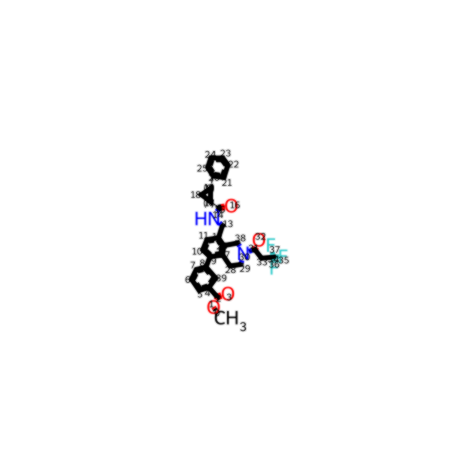 COC(=O)c1cccc(-c2ccc(CNC(=O)[C@@H]3C[C@@H]3c3ccccc3)c3c2CCN(C(=O)CC(F)(F)F)C3)c1